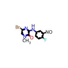 Cn1cc(Br)nc(Nc2ccc(F)c(N=O)c2)c1=O